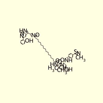 Cc1ncsc1-c1ccc(CNC(=O)[C@@H]2C[C@@H](O)CN2C(=O)[C@@H](NC(=O)CCCCCCCCCCCCCCCC(=O)N2CC(c3c[nH]c4nnc(-c5ccccc5O)cc34)C2)C(C)(C)C)cc1